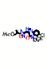 CCC(C)n1c(=O)c2c(-c3noc(C(C)COC)n3)ncn2c2ccc(Cl)c(C#N)c21